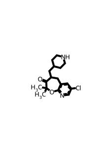 CC1(C)Oc2ncc(Cl)cc2CC(CC2CCNCC2)C1=O